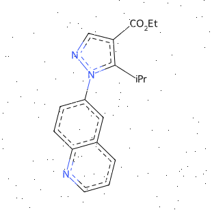 CCOC(=O)c1cnn(-c2ccc3ncccc3c2)c1C(C)C